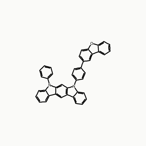 c1ccc(-n2c3ccccc3c3cc4c5ccccc5n(-c5ccc(-c6ccc7oc8ccccc8c7c6)cc5)c4cc32)cc1